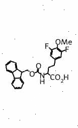 COc1c(F)cc(CCC(NC(=O)OCC2c3ccccc3-c3ccccc32)C(=O)O)cc1F